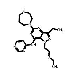 CCOCCn1nc(CC)c2nc(N3CCCNCC3)nc(Nc3ccncn3)c21